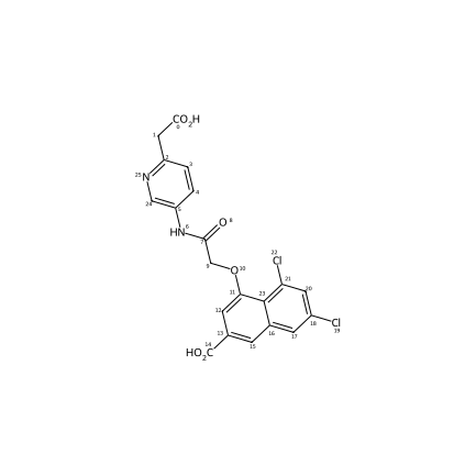 O=C(O)Cc1ccc(NC(=O)COc2cc(C(=O)O)cc3cc(Cl)cc(Cl)c23)cn1